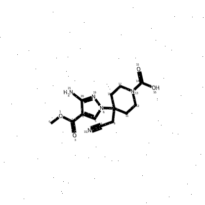 COC(=O)c1cn(C2(CC#N)CCN(C(=O)O)CC2)nc1N